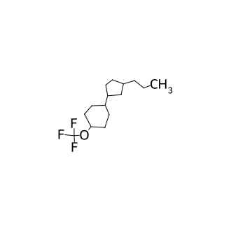 CCCC1CCC(C2CCC(OC(F)(F)F)CC2)C1